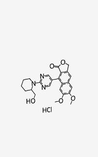 COc1cc2cc3c(c(-c4cnc(N5CCCCC5CO)nc4)c2cc1OC)C(=O)OC3.Cl